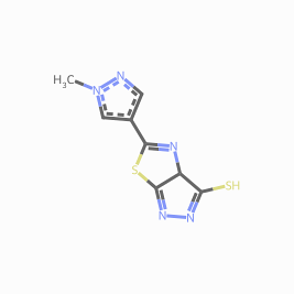 Cn1cc(C2=NC3C(S)=NN=C3S2)cn1